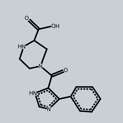 O=C(O)C1CN(C(=O)c2[nH]cnc2-c2ccccc2)CCN1